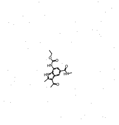 CCOC(=O)Nc1cc(C(=O)NC)cc2c(C(C)=O)c(C)[nH]c12